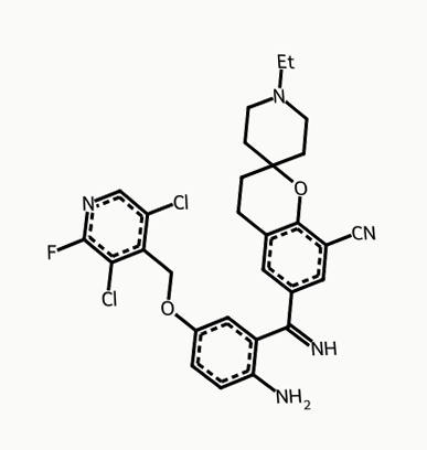 CCN1CCC2(CCc3cc(C(=N)c4cc(OCc5c(Cl)cnc(F)c5Cl)ccc4N)cc(C#N)c3O2)CC1